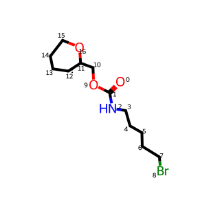 O=C(NCCCCCBr)OCC1[C]CCCO1